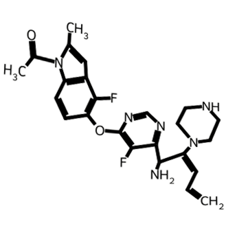 C=C/C=C(\C(N)c1ncnc(Oc2ccc3c(cc(C)n3C(C)=O)c2F)c1F)N1CCNCC1